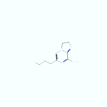 COCCCC1=CN2CCN=C2C(SC)=N1